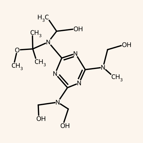 COC(C)(C)N(c1nc(N(C)CO)nc(N(CO)CO)n1)C(C)O